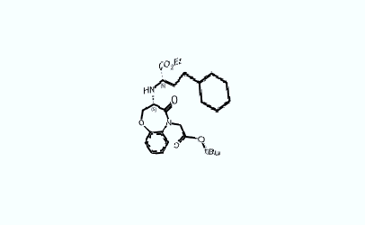 CCOC(=O)[C@H](CCC1CCCCC1)N[C@H]1COc2ccccc2N(CC(=O)OC(C)(C)C)C1=O